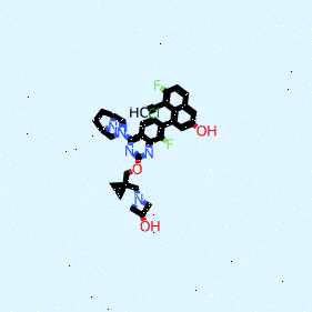 C#Cc1c(F)ccc2cc(O)cc(-c3c(Cl)cc4c(N5CC6CCC(C5)N6)nc(OCC5(CN6CC(O)C6)CC5)nc4c3F)c12